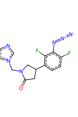 [N-]=[N+]=Nc1c(F)ccc(C2CC(=O)N(Cn3ccnc3)C2)c1F